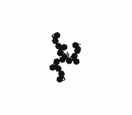 c1cc(-c2ccc3c(-c4cccc(-n5c6ccccc6c6cc(-c7ccc8sc9ccccc9c8c7)ccc65)c4)nnc(-c4cccc(-n5c6ccccc6c6cc(-c7ccc8sc9ccccc9c8c7)ccc65)c4)c3c2)cc(-n2c3ccccc3c3cc(-c4ccc5sc6ccccc6c5c4)ccc32)c1